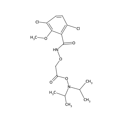 COc1c(Cl)ccc(Cl)c1C(=O)NOCC(=O)ON(C(C)C)C(C)C